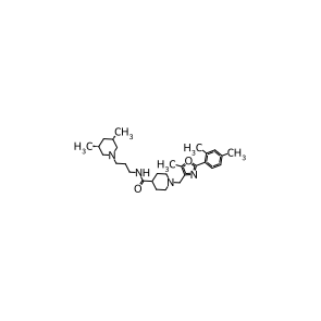 Cc1ccc(-c2nc(CN3CCC(C(=O)NCCCN4C[C@H](C)C[C@H](C)C4)CC3)c(C)o2)c(C)c1